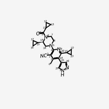 Cc1c(C#N)c(N2CCN(C(=O)C3CC3)[C@H](C3CC3)C2)nc(C2CC2)c1-c1cn[nH]c1